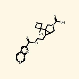 CC1(C23CN(C(=O)O)CC2C3CCNC(=O)c2cc3ccncc3o2)COC1